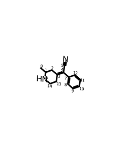 CC1CC(=C(C#N)c2ccccc2)CCN1